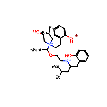 CCCCCC(OCCNC(Cc1ccccc1O)CC(CC)CCCC)[N+](CCO)(CCc1ccccc1O)CC(CC)CCCC.[Br-]